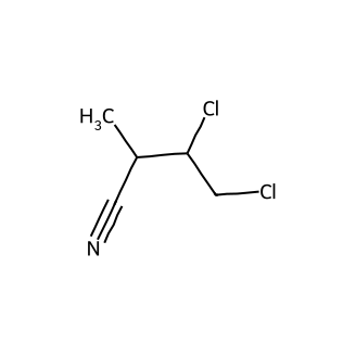 CC(C#N)C(Cl)CCl